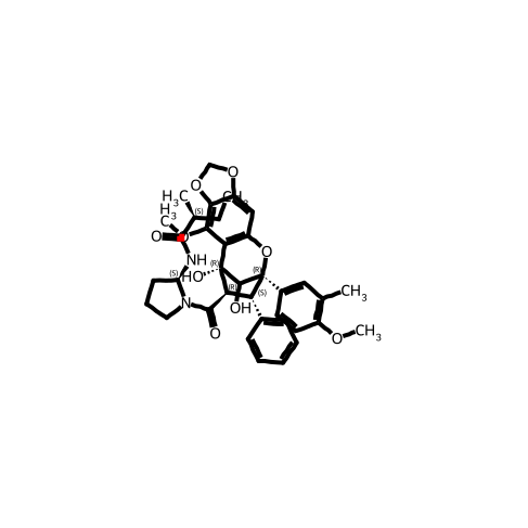 CC[C@H](C)C(=O)N[C@@H]1CCCN1C(=O)[C@@H]1[C@@H](c2ccccc2)[C@]2(c3ccc(OC)c(C)c3)Oc3cc4c(c(OC)c3[C@@]1(O)C2O)OCO4